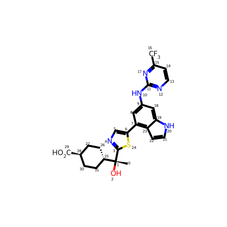 C[C@](O)(c1ncc(-c2cc(Nc3nccc(C(F)(F)F)n3)cc3[nH]ccc23)s1)[C@H]1CC[C@H](C(=O)O)CC1